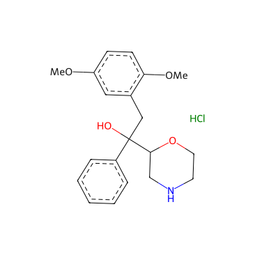 COc1ccc(OC)c(CC(O)(c2ccccc2)C2CNCCO2)c1.Cl